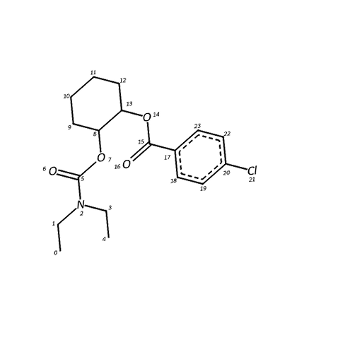 CCN(CC)C(=O)OC1CCCCC1OC(=O)c1ccc(Cl)cc1